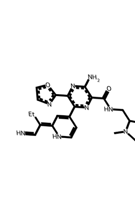 CC/C(C=N)=C1\C=C(c2nc(C(=O)NCC3CCCN3C)c(N)nc2-c2ncco2)C=CN1